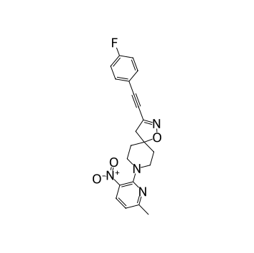 Cc1ccc([N+](=O)[O-])c(N2CCC3(CC2)CC(C#Cc2ccc(F)cc2)=NO3)n1